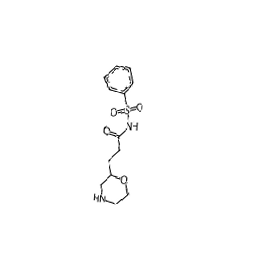 O=C(CCC1CNCCO1)NS(=O)(=O)c1ccccc1